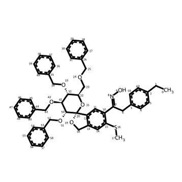 CCc1ccc(CC(=NO)c2cc3c(cc2SC)CO[C@]32O[C@H](COCc3ccccc3)[C@@H](OCc3ccccc3)[C@H](OCc3ccccc3)[C@H]2OCc2ccccc2)cc1